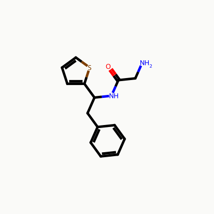 NCC(=O)NC(Cc1ccccc1)c1cccs1